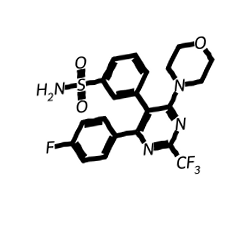 NS(=O)(=O)c1cccc(-c2c(-c3ccc(F)cc3)nc(C(F)(F)F)nc2N2CCOCC2)c1